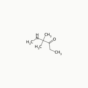 CCC(=O)C(C)(C)NC